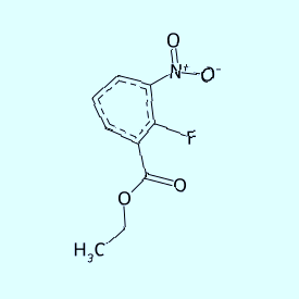 CCOC(=O)c1cccc([N+](=O)[O-])c1F